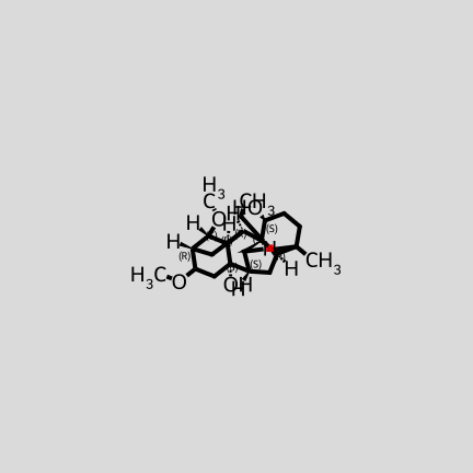 CCN1CC2(C)CC[C@H](O)[C@]34C1[C@H](C[C@H]23)[C@@]1(O)CC(OC)[C@H]2C[C@@H]4[C@@H]1[C@H]2OC